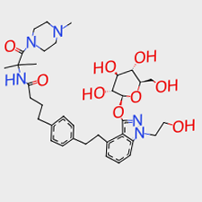 CN1CCN(C(=O)C(C)(C)NC(=O)CCCc2ccc(CCc3cccc4c3c(O[C@@H]3O[C@H](CO)[C@@H](O)[C@H](O)[C@H]3O)nn4CCO)cc2)CC1